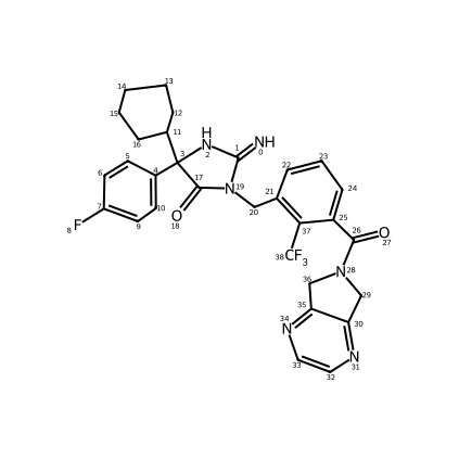 N=C1NC(c2ccc(F)cc2)(C2CCCCC2)C(=O)N1Cc1cccc(C(=O)N2Cc3nccnc3C2)c1C(F)(F)F